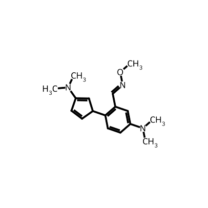 CON=Cc1cc(N(C)C)ccc1C1C=CC(N(C)C)=C1